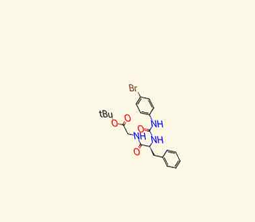 CC(C)(C)OC(=O)CNC(=O)[C@H](Cc1ccccc1)NC(=O)Nc1ccc(Br)cc1